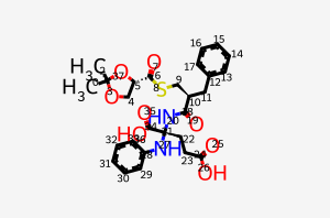 CC1(C)OC[C@@H](C(=O)SC[C@@H](Cc2ccccc2)C(=O)N[C@](CCC(=O)O)(Nc2ccccc2)C(=O)O)O1